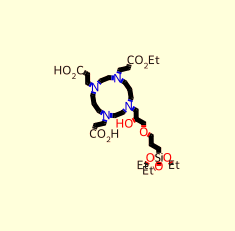 CCOC(=O)CCN1CCCN(CC(O)COCCC[Si](OCC)(OCC)OCC)CCN(CCC(=O)O)CCCN(CCC(=O)O)CC1